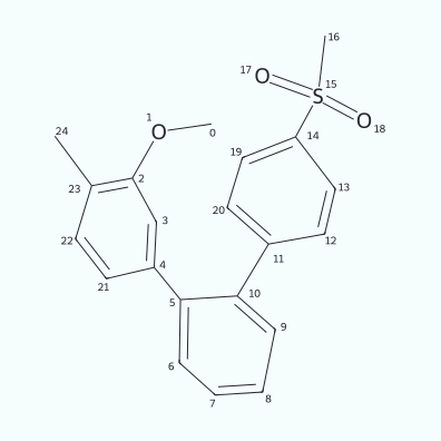 COc1cc(-c2ccccc2-c2ccc(S(C)(=O)=O)cc2)ccc1C